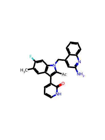 CC(=O)c1c(-c2ccc[nH]c2=O)c2cc(C)c(F)cc2n1Cc1cc(N)nc2ccccc12